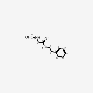 O=[C]NCC(=O)OCCc1ccccc1